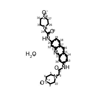 O.O=C(CN1CC[S+]([O-])CC1)Nc1ccc2cc3ccc(NC(=O)CN4CC[S+]([O-])CC4)cc3nc2c1